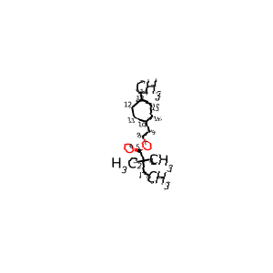 CCC(C)(C)C(=O)OCCC1CCC(C)CC1